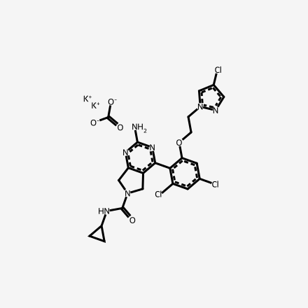 Nc1nc2c(c(-c3c(Cl)cc(Cl)cc3OCCn3cc(Cl)cn3)n1)CN(C(=O)NC1CC1)C2.O=C([O-])[O-].[K+].[K+]